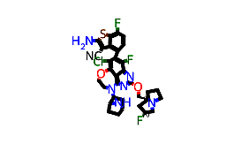 N#Cc1c(N)sc2c(F)ccc(-c3c(Cl)c4c5c(nc(OC[C@@]67CCCN6C[C@H](F)C7)nc5c3F)N(C3CC5CCC3N5)CCO4)c12